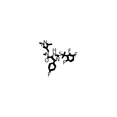 Cc1nn(C)cc1CN(C)C(=O)c1[nH]c(SC(C)(C)c2c(F)ccc(F)c2F)nc1-c1ccc(F)cc1